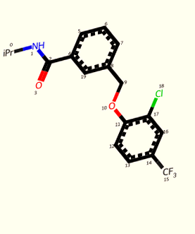 CC(C)NC(=O)c1cccc(COc2ccc(C(F)(F)F)cc2Cl)c1